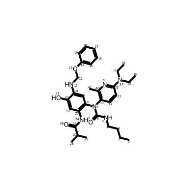 CCCCNC(=O)N(c1cc(NCOc2ccccc2)c(O)cc1NC(=O)C(C)C)c1ccc(N(CC)CC)nc1C